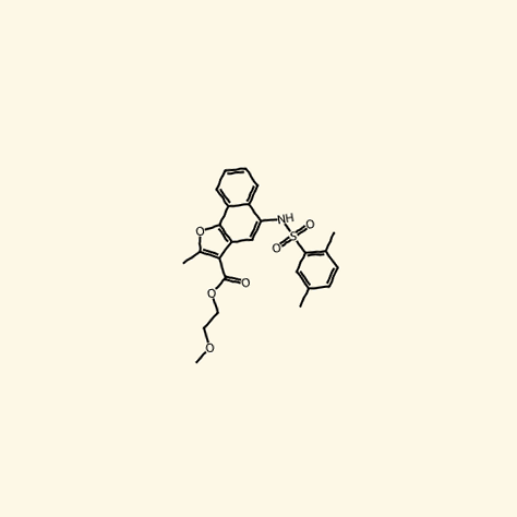 COCCOC(=O)c1c(C)oc2c1cc(NS(=O)(=O)c1cc(C)ccc1C)c1ccccc12